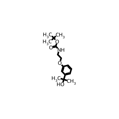 CC(C)(C)OC(=O)NCCOc1cccc(C(C)(C)O)c1